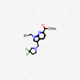 COC(=O)c1ccc2c(CN3CCC(F)(F)C3)cn(CC(C)C)c2n1